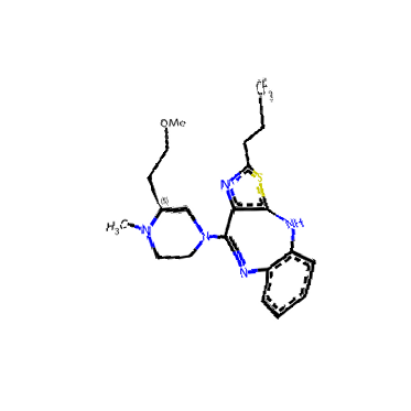 COCC[C@H]1CN(C2=Nc3ccccc3Nc3sc(CCC(F)(F)F)nc32)CCN1C